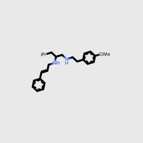 COc1ccc(CCNCC(CC(C)C)NC/C=C/c2ccccc2)cc1